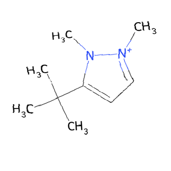 Cn1c(C(C)(C)C)cc[n+]1C